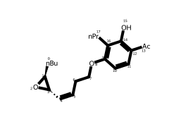 CCCC[C@@H]1O[C@H]1/C=C\CCOc1ccc(C(C)=O)c(O)c1CCC